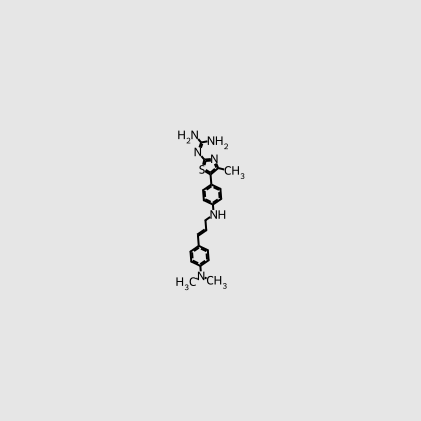 Cc1nc(N=C(N)N)sc1-c1ccc(NCC=Cc2ccc(N(C)C)cc2)cc1